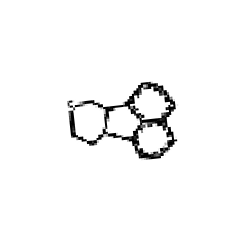 c1cc2c3c(cccc3c1)C1CSCCC21